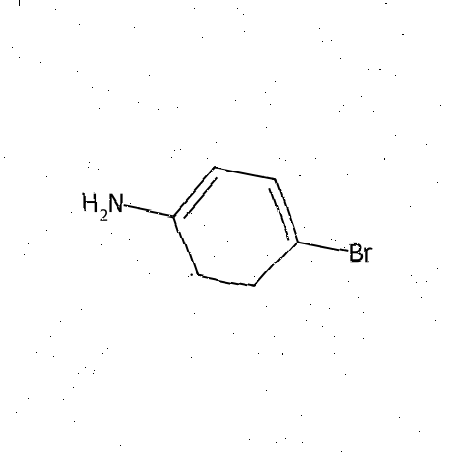 NC1=CC=C(Br)C[CH]1